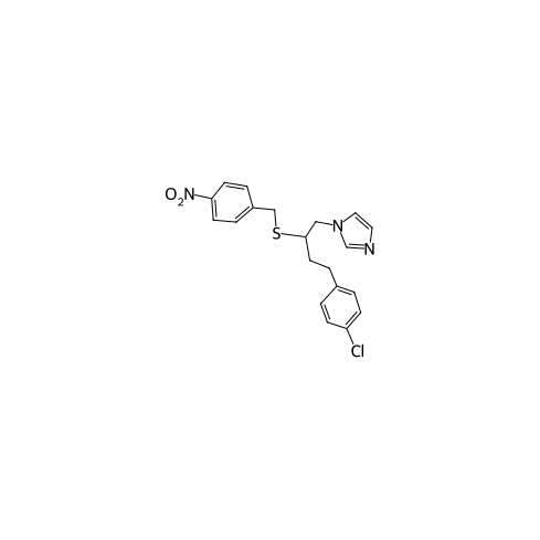 O=[N+]([O-])c1ccc(CSC(CCc2ccc(Cl)cc2)Cn2ccnc2)cc1